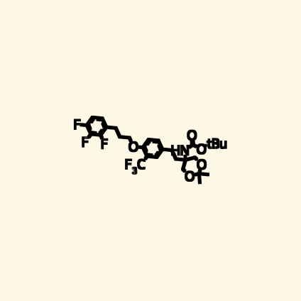 CC(C)(C)OC(=O)NC1(CCc2ccc(OCCCc3ccc(F)c(F)c3F)c(C(F)(F)F)c2)COC(C)(C)OC1